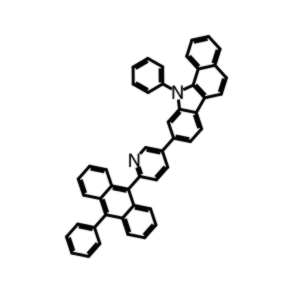 c1ccc(-c2c3ccccc3c(-c3ccc(-c4ccc5c6ccc7ccccc7c6n(-c6ccccc6)c5c4)cn3)c3ccccc23)cc1